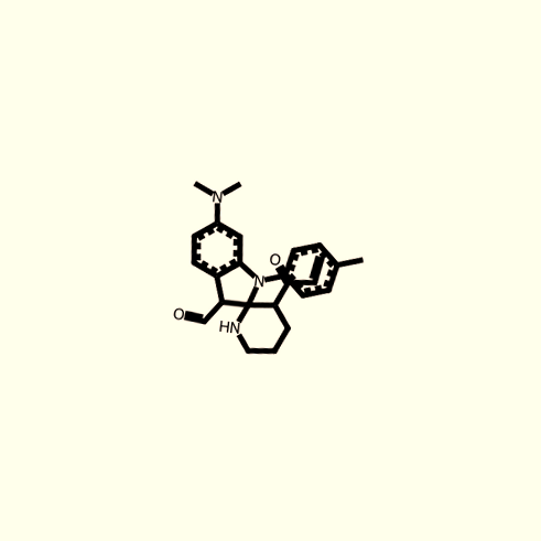 C=CC(=O)C1CCCNC12C(C=O)c1ccc(N(C)C)cc1N2c1ccc(C)cc1